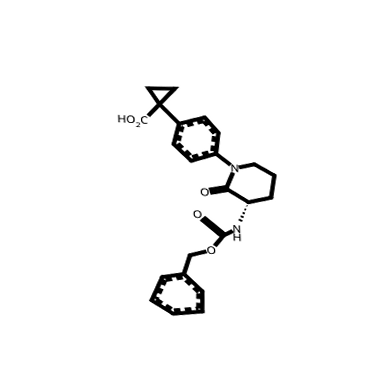 O=C(N[C@H]1CCCN(c2ccc(C3(C(=O)O)CC3)cc2)C1=O)OCc1ccccc1